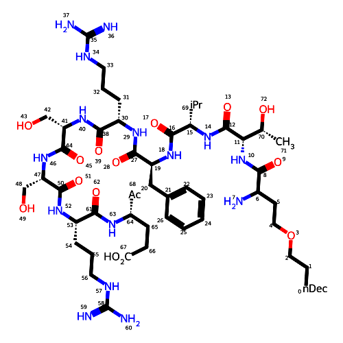 CCCCCCCCCCCCOCCC(N)C(=O)N[C@H](C(=O)N[C@H](C(=O)N[C@@H](Cc1ccccc1)C(=O)N[C@@H](CCCNC(=N)N)C(=O)N[C@@H](CO)C(=O)N[C@@H](CO)C(=O)N[C@@H](CCCNC(=N)N)C(=O)N[C@@H](CCC(=O)O)C(C)=O)C(C)C)[C@@H](C)O